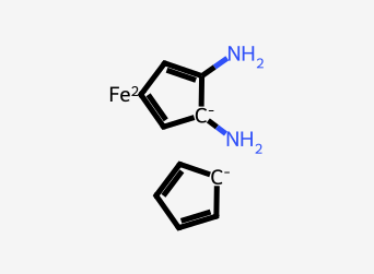 Nc1ccc[c-]1N.[Fe+2].c1cc[cH-]c1